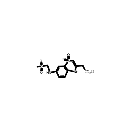 CCOC(=O)CC1=CS(=O)(=O)c2cc(NCS(C)(=O)=O)ccc2N1